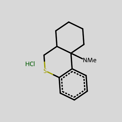 CNC12CCCCC1CSc1ccccc12.Cl